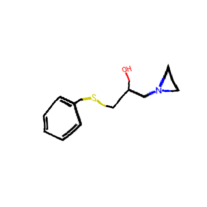 OC(CSc1ccccc1)CN1CC1